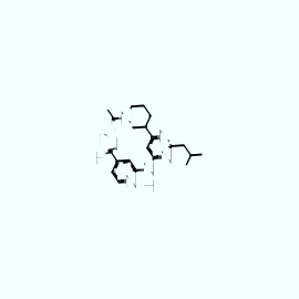 CC(=O)N1CCCC(c2cc(Nc3cc(C(F)(F)F)ccn3)nc(CC(C)C)n2)C1